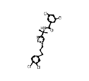 CC(C)(NC(=O)c1cc(Cl)cc(Cl)c1)c1cn(CCCc2ccc(Cl)c(Cl)c2)nn1